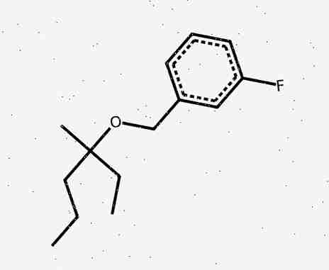 CCCC(C)(CC)OCc1cccc(F)c1